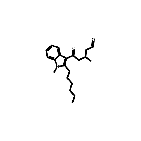 CCCCCCc1c(C(=O)CC(C)CC=O)c2ccccc2n1C